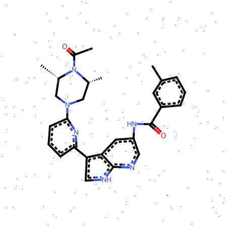 CC(=O)N1[C@H](C)CN(c2cccc(-c3c[nH]c4ncc(NC(=O)c5cccc(C)c5)cc34)n2)C[C@@H]1C